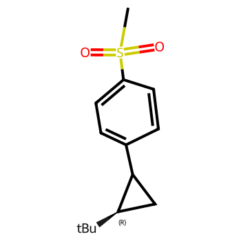 CC(C)(C)[C@@H]1CC1c1ccc(S(C)(=O)=O)cc1